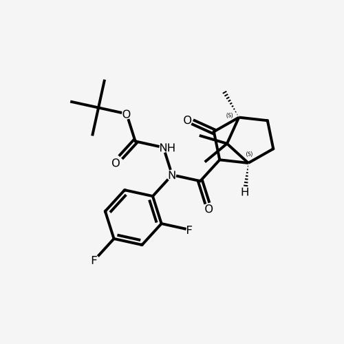 CC(C)(C)OC(=O)NN(C(=O)C1C(=O)[C@@]2(C)CC[C@@H]1C2(C)C)c1ccc(F)cc1F